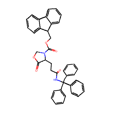 O=C(CCC1C(=O)OCN1C(=O)OCC1c2ccccc2-c2ccccc21)NC(c1ccccc1)(c1ccccc1)c1ccccc1